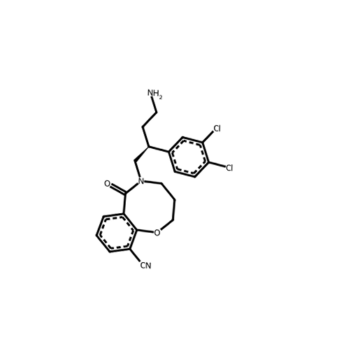 N#Cc1cccc2c1OCCCN(C[C@@H](CCN)c1ccc(Cl)c(Cl)c1)C2=O